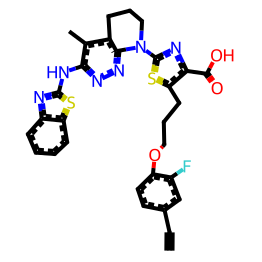 C#Cc1ccc(OCCCc2sc(N3CCCc4c3nnc(Nc3nc5ccccc5s3)c4C)nc2C(=O)O)c(F)c1